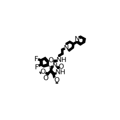 COCC1=C(C(=O)OC)[C@H](c2ccc(F)c(F)c2)N(C(=O)NCCCN2CCC(c3ccccn3)CC2)C(=O)N1